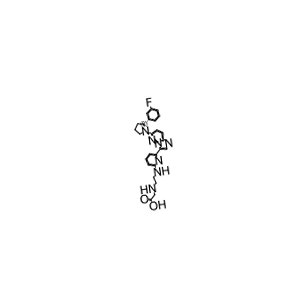 O=C(O)CNCCNc1cccc(-c2cnc3ccc(N4CCC[C@@H]4c4cccc(F)c4)nn23)n1